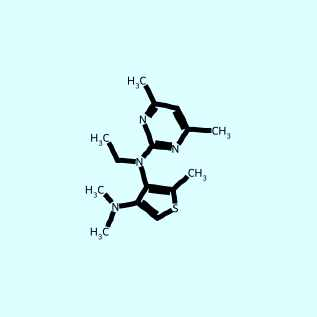 CCN(c1nc(C)cc(C)n1)c1c(N(C)C)csc1C